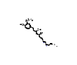 C=C/C=C\C=C\CCC(=O)CC(O)CCc1ccc(O)c(OC)c1